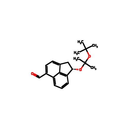 CC(C)(C)O[Si](C)(C)O[C@H]1Cc2ccc(C=O)c3cccc1c23